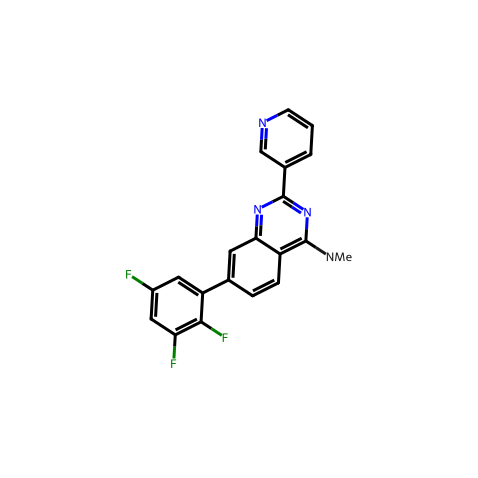 CNc1nc(-c2cccnc2)nc2cc(-c3cc(F)cc(F)c3F)ccc12